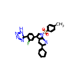 Cc1ccc(S(=O)(=O)n2cc(-c3ccc(-c4nnn[nH]4)c(F)c3)c3cc(-c4ccccc4)cnc32)cc1